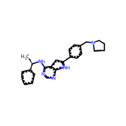 C[C@@H](Nc1ncnc2[nH]c(-c3ccc(CN4CCCC4)cc3)cc12)c1ccccc1